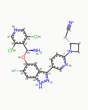 N#CC[C@@H]1CCN1c1ccc(-c2n[nH]c3cc(F)c(O[C@H](N)c4c(Cl)cncc4Cl)cc23)cn1